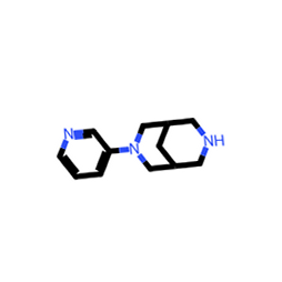 c1cncc(N2CC3CNCC(C3)C2)c1